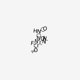 Cc1noc(-c2c(N3CCC(NC4CCOCC4)CC3)nc3c(F)cc(OC4CC4)cc3c2C)n1